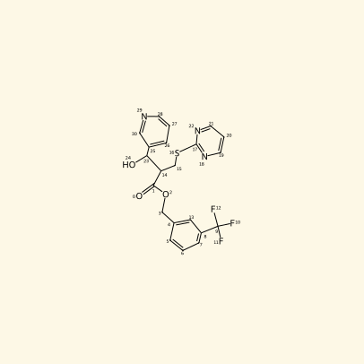 O=C(OCc1cccc(C(F)(F)F)c1)C(CSc1ncccn1)C(O)c1cccnc1